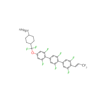 CCCCCCCC1CCC(C(F)(F)Oc2cc(F)c(-c3cc(F)c(-c4cc(F)c(/C=C/C(F)(F)F)c(F)c4)c(F)c3)c(F)c2)CC1